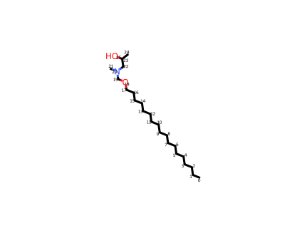 CCCCCCCCCCCCCCCCCCOCN(C)CC(C)O